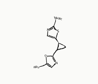 CC(=O)Nc1ncc([C@H]2CC2c2ncc(C(C)(C)C)o2)s1